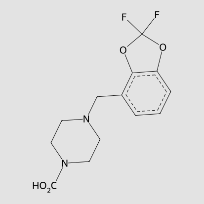 O=C(O)N1CCN(Cc2cccc3c2OC(F)(F)O3)CC1